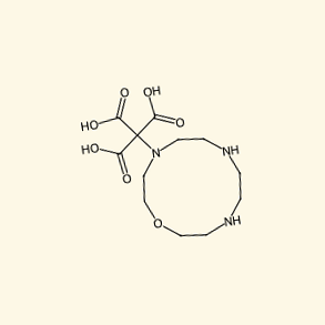 O=C(O)C(C(=O)O)(C(=O)O)N1CCNCCNCCOCC1